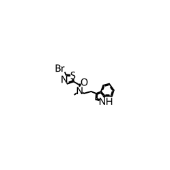 CN(CCc1c[nH]c2ccccc12)C(=O)c1cnc(Br)s1